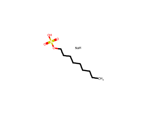 CCCCCCCCCOS(=O)(=O)O.[NaH]